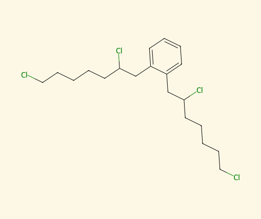 ClCCCCCC(Cl)Cc1ccccc1CC(Cl)CCCCCCl